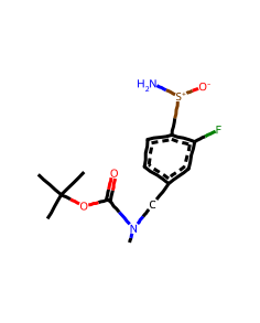 CN(Cc1ccc([S+](N)[O-])c(F)c1)C(=O)OC(C)(C)C